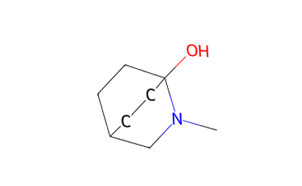 CN1CC2CCC1(O)CC2